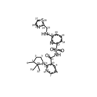 CC1CCN(c2ncccc2C(=O)NS(=O)(=O)c2cccc(NCc3nccs3)n2)C1(C)C